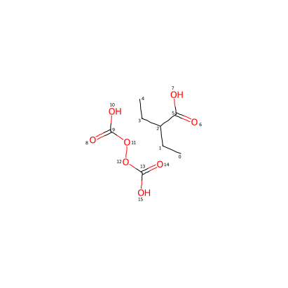 CCC(CC)C(=O)O.O=C(O)OOC(=O)O